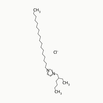 CCCCCCCCCCCCCCCCCC[n+]1ccn(CC(CC)CCCC)c1.[Cl-]